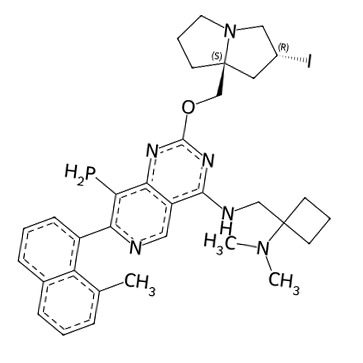 Cc1cccc2cccc(-c3ncc4c(NCC5(N(C)C)CCC5)nc(OC[C@@]56CCCN5C[C@H](I)C6)nc4c3P)c12